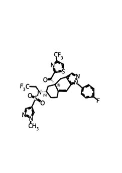 Cn1cc(S(=O)(=O)N(CC(F)(F)F)[C@H]2CCC3=Cc4c(cnn4-c4ccc(F)cc4)C[C@]3(C(=O)c3nc(C(F)(F)F)cs3)C2)cn1